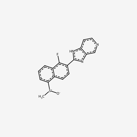 C[S+]([O-])c1cccc2c(F)c(-c3nc4cnccc4[nH]3)ccc12